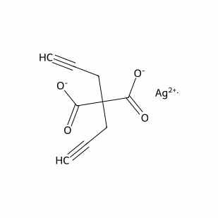 C#CCC(CC#C)(C(=O)[O-])C(=O)[O-].[Ag+2]